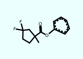 CC1(C(=O)Oc2ccccc2)CCC(F)(F)C1